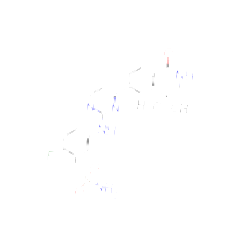 CC1(C)CNC(=O)c2ccc(-c3ccnc(Nc4ccc(F)c(CS(N)(=O)=O)c4)n3)cc21